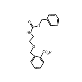 O=C(NCCOCc1ccccc1C(=O)O)OCc1ccccc1